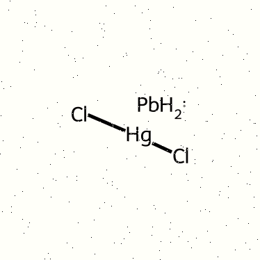 [Cl][Hg][Cl].[PbH2]